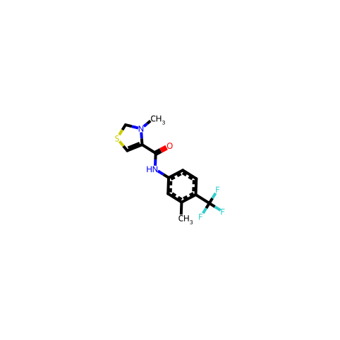 Cc1cc(NC(=O)C2=CSCN2C)ccc1C(F)(F)F